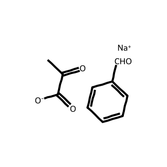 CC(=O)C(=O)[O-].O=Cc1ccccc1.[Na+]